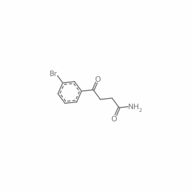 NC(=O)CCC(=O)c1cccc(Br)c1